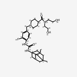 CC12CC3CC(C)(C1)CC(NC(=O)Nc1ccc(CN4CCC(C(=O)N(CCO)CCO)CC4)cc1F)(C3)C2